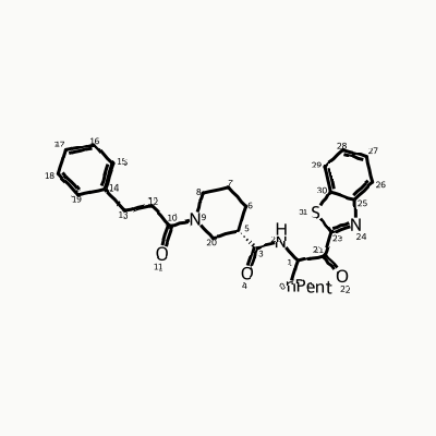 CCCCCC(NC(=O)[C@H]1CCCN(C(=O)CCc2ccccc2)C1)C(=O)c1nc2ccccc2s1